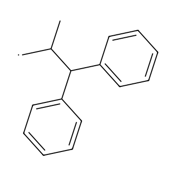 [CH2]C(C)C(c1ccccc1)c1ccccc1